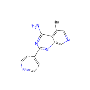 CCC(C)c1cncc2nc(-c3ccncc3)nc(N)c12